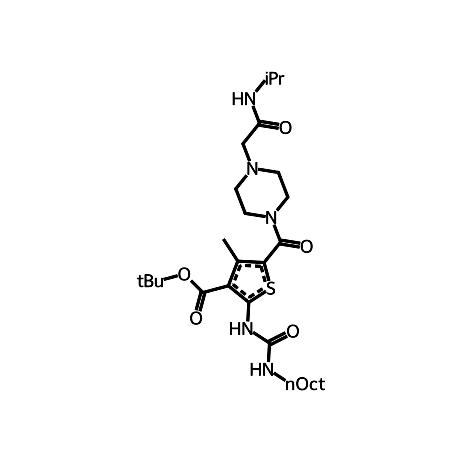 CCCCCCCCNC(=O)Nc1sc(C(=O)N2CCN(CC(=O)NC(C)C)CC2)c(C)c1C(=O)OC(C)(C)C